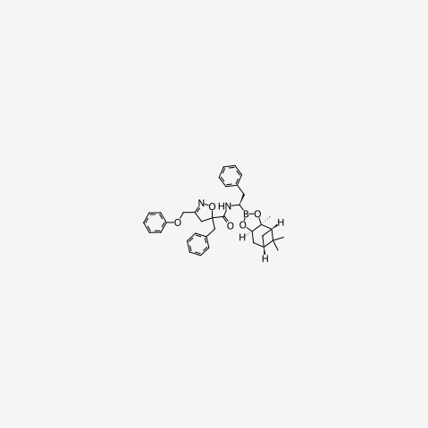 CC1(C)[C@@H]2C[C@H]3OB([C@H](Cc4ccccc4)NC(=O)C4(Cc5ccccc5)CC(COc5ccccc5)=NO4)O[C@@]3(C)[C@H]1C2